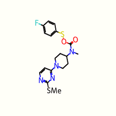 CSc1nccc(N2CCC(N(C)C(=O)OSc3ccc(F)cc3)CC2)n1